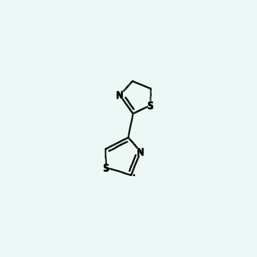 [c]1nc(C2=NCCS2)cs1